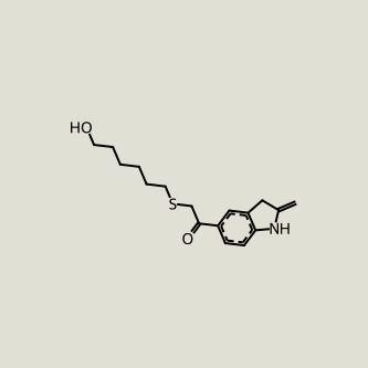 C=C1Cc2cc(C(=O)CSCCCCCCO)ccc2N1